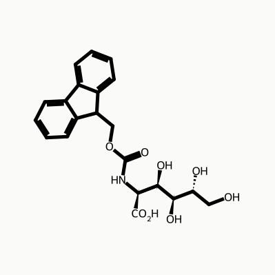 O=C(N[C@H](C(=O)O)[C@@H](O)[C@H](O)[C@H](O)CO)OCC1c2ccccc2-c2ccccc21